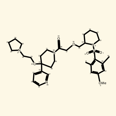 COc1cc(C)c(S(=O)(=O)N2CCCCC2COCC(=O)N2CCC(OCCN3CCCC3)(c3cccnc3)CC2)c(C)c1